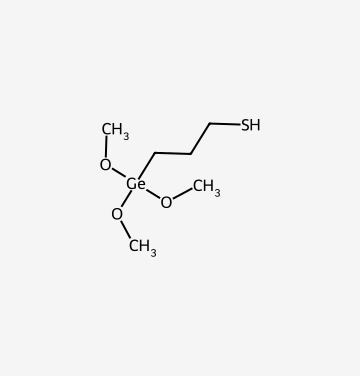 C[O][Ge]([CH2]CCS)([O]C)[O]C